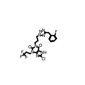 O=c1c2[nH]c(Cl)nc2n(CCC(F)(F)F)c(=O)n1CCCn1nnc(Cc2ccccc2F)n1